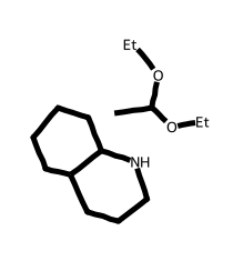 C1CCC2NCCCC2C1.CCOC(C)OCC